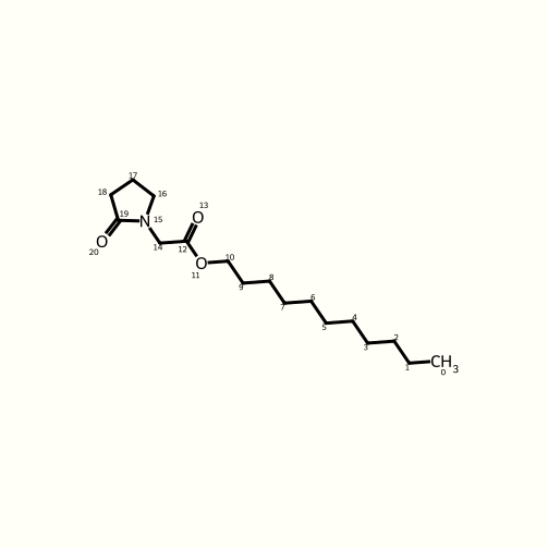 CCCCCCCCCCCOC(=O)CN1CCCC1=O